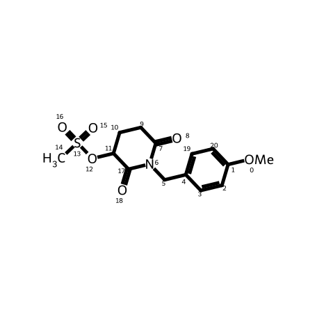 COc1ccc(CN2C(=O)CCC(OS(C)(=O)=O)C2=O)cc1